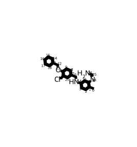 Cc1ccc(NCc2ccc(OCc3ccccc3)c(Cl)c2)cc1/N=C\N